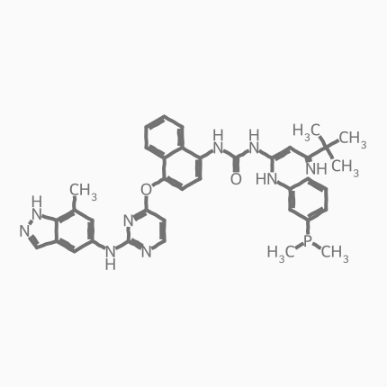 Cc1cc(Nc2nccc(Oc3ccc(NC(=O)N/C(=C/C(=N)C(C)(C)C)Nc4cccc(P(C)C)c4)c4ccccc34)n2)cc2cn[nH]c12